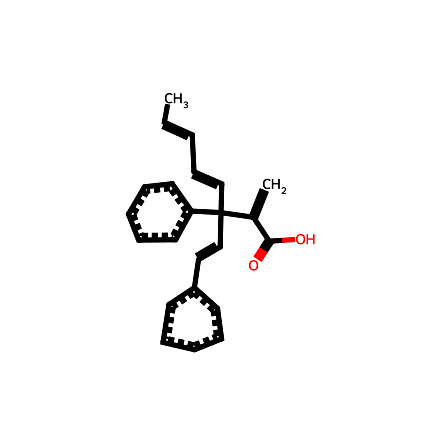 C=C(C(=O)O)C(C=CC=CC)(C=Cc1ccccc1)c1ccccc1